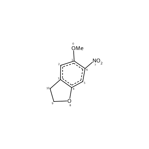 COc1cc2c(cc1[N+](=O)[O-])OCC2